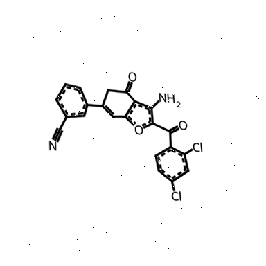 N#Cc1cccc(C2=Cc3oc(C(=O)c4ccc(Cl)cc4Cl)c(N)c3C(=O)C2)c1